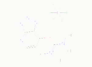 CN(C)C(Oc1ccnc2[nH]nnc12)=[N+](C)C.F[P-](F)(F)(F)(F)F